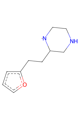 c1coc(CCC2CNCC[N]2)c1